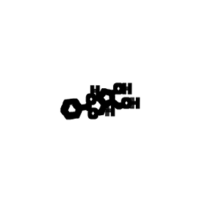 OCC1[C@H](O)C[C@@H]2OC(c3ccccc3)OC[C@@H]12